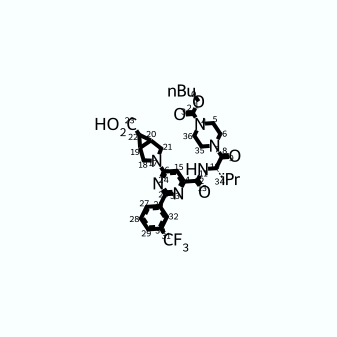 CCCCOC(=O)N1CCN(C(=O)[C@@H](NC(=O)c2cc(N3CC4C(C3)C4C(=O)O)nc(-c3cccc(C(F)(F)F)c3)n2)C(C)C)CC1